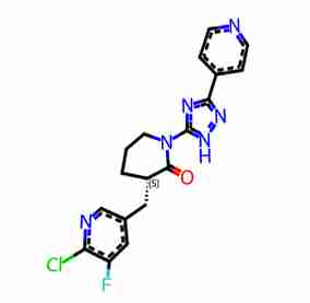 O=C1[C@H](Cc2cnc(Cl)c(F)c2)CCCN1c1nc(-c2ccncc2)n[nH]1